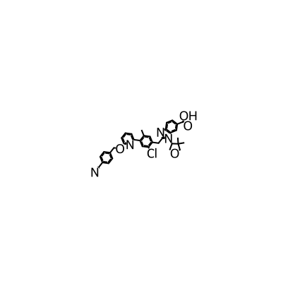 Cc1cc(Cc2nc3ccc(C(=O)O)cc3n2[C@@H]2COCC2(C)C)c(Cl)cc1-c1cccc(OCc2ccc(C#N)cc2)n1